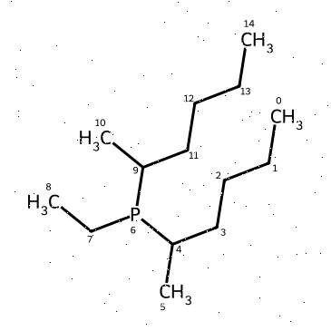 CCCCC(C)P(CC)C(C)CCCC